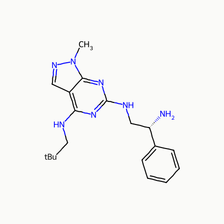 Cn1ncc2c(NCC(C)(C)C)nc(NC[C@H](N)c3ccccc3)nc21